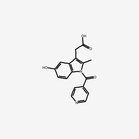 Cc1c(CC(=O)O)c2cc(O)ccc2n1C(=O)c1ccncc1